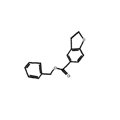 O=C(OCc1ccccc1)c1ccc2c(c1)CCO2